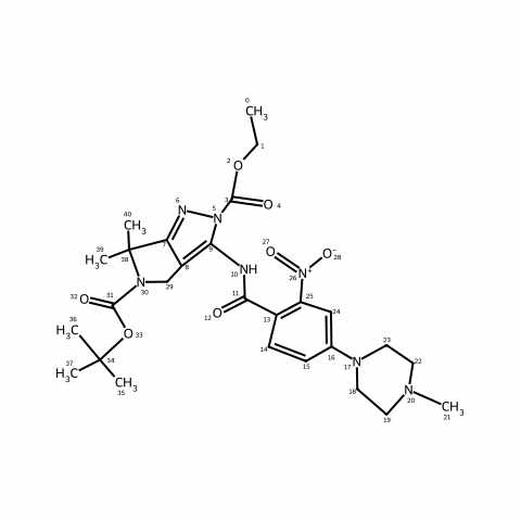 CCOC(=O)n1nc2c(c1NC(=O)c1ccc(N3CCN(C)CC3)cc1[N+](=O)[O-])CN(C(=O)OC(C)(C)C)C2(C)C